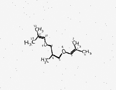 CC(C)=COCC(C)COC=C(C)C